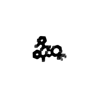 CC1(C)C[C@@H](CNC(=O)c2ccccc2)[C@@H](CNC(=O)c2cccnc2Cl)OCCO1